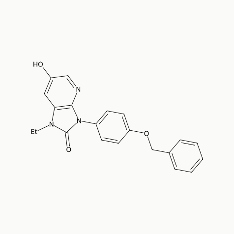 CCn1c(=O)n(-c2ccc(OCc3ccccc3)cc2)c2ncc(O)cc21